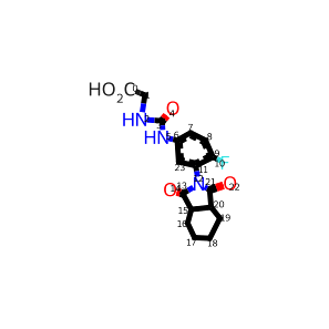 O=C(O)CNC(=O)Nc1ccc(F)c(N2C(=O)C3CCCCC3C2=O)c1